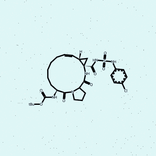 CC(C)(C)OC(=O)N[C@H]1CCCCC/C=C\[C@@H]2C[C@@]2(C(=O)NS(=O)(=O)Nc2ccc(Cl)cc2)NC(=O)C2CCCN2C1=O